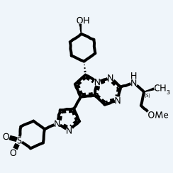 COC[C@H](C)Nc1ncc2c(-c3cnn(C4CCS(=O)(=O)CC4)c3)cc([C@H]3CC[C@H](O)CC3)n2n1